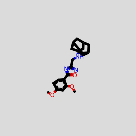 COc1ccc(-c2nc(CNC34CC5CC(CC(C5)C3)C4)no2)c(OC)c1